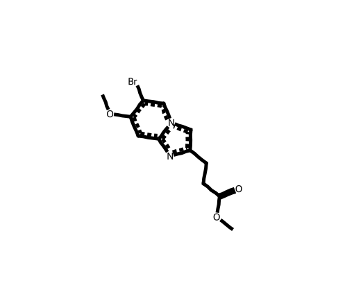 COC(=O)CCc1cn2cc(Br)c(OC)cc2n1